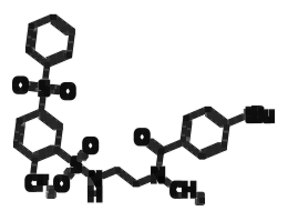 CN(CCNS(=O)(=O)c1cc(S(=O)(=O)c2ccccc2)ccc1C(F)(F)F)C(=O)c1ccc(C(C)(C)C)cc1